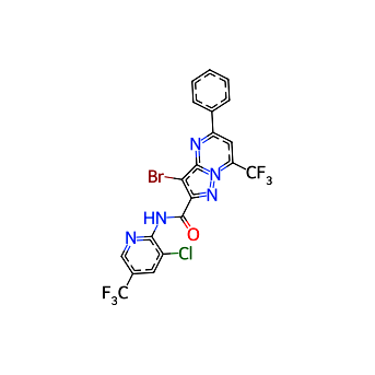 O=C(Nc1ncc(C(F)(F)F)cc1Cl)c1nn2c(C(F)(F)F)cc(-c3ccccc3)nc2c1Br